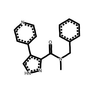 CN(Cc1ccccc1)C(=O)c1n[nH]cc1-c1ccncc1